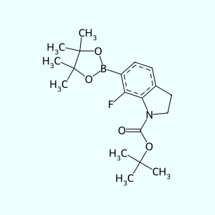 CC(C)(C)OC(=O)N1CCc2ccc(B3OC(C)(C)C(C)(C)O3)c(F)c21